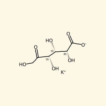 O=C(CO)[C@@H](O)[C@H](O)[C@@H](O)C(=O)[O-].[K+]